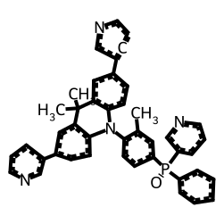 Cc1cc(P(=O)(c2ccccc2)c2cccnc2)ccc1N1c2ccc(-c3cccnc3)cc2C(C)(C)c2cc(-c3cccnc3)ccc21